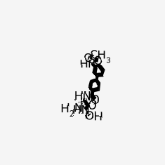 CS(=O)(=O)Nc1cccc(-c2ccc(C(=O)N[C@@H](CN)C(=O)NO)cc2)c1